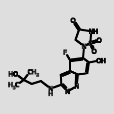 CC(C)(O)CCNc1cc2c(F)c(N3CC(=O)NS3(=O)=O)c(O)cc2nn1